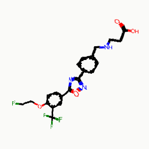 O=C(O)CCNCc1ccc(-c2noc(-c3ccc(OCCF)c(C(F)(F)F)c3)n2)cc1